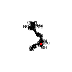 COc1cc(Nc2c(C#N)cnc3cc(OCCCN4CCN(C(=O)CCC(=O)NC(C(=O)N5C[C@H](O)C[C@H]5C(=O)NCc5ccc(-c6scnc6C)cc5)C(C)(C)C)CC4)c(OC)cc23)c(Cl)cc1Cl